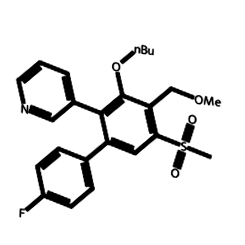 CCCCOc1c(COC)c(S(C)(=O)=O)cc(-c2ccc(F)cc2)c1-c1cccnc1